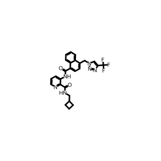 O=C(NCC1CCC1)c1ncccc1NC(=O)c1ccc(Cn2cc(C(F)(F)F)nn2)c2ccccc12